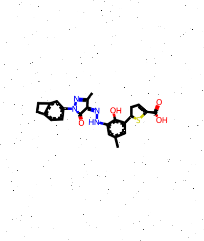 CC1=NN(c2ccc3c(c2)CC3)C(=O)/C1=N\Nc1cc(C)cc(C2CC=C(C(=O)O)S2)c1O